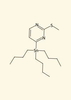 CCC[CH2][Sn]([CH2]CCC)([CH2]CCC)[c]1ccnc(SC)n1